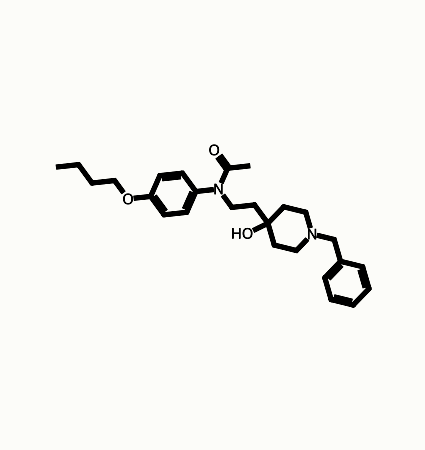 CCCCOc1ccc(N(CCC2(O)CCN(Cc3ccccc3)CC2)C(C)=O)cc1